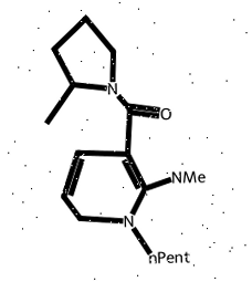 CCCCCN1CC=CC(C(=O)N2CCCC2C)=C1NC